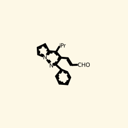 CC(C)c1c(C=CC=O)c(-c2ccccc2)nn2cccc12